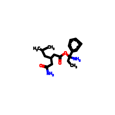 CCC(N)(OC(=O)CC(CC(N)=O)CC(C)C)c1ccccc1